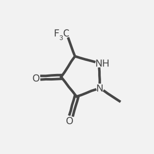 CN1NC(C(F)(F)F)C(=O)C1=O